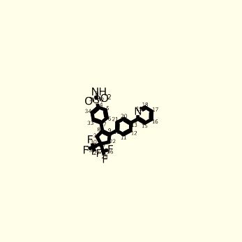 NS(=O)(=O)c1ccc(C2=C(c3ccc(-c4ccccn4)cc3)CC(C(F)(F)F)(C(F)(F)F)C2)cc1